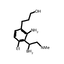 BC(CNC)c1c(CC)ccc(CCCO)c1N